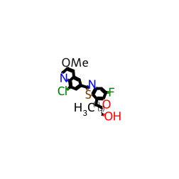 COc1cnc2c(Cl)cc(-c3nc4cc(F)c5c(c4s3)[C@H](C)[C@@H](CO)O5)cc2c1